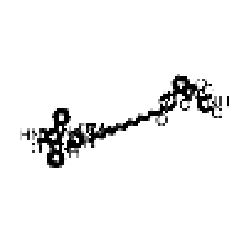 CO[C@@H]1[C@H](N(C)C(=O)CCCCCCCCCCC(=O)N2CCN(c3cccc4c3C(=O)N(C3CCC(=O)NC3=O)C4=O)CC2)C[C@H]2O[C@]1(C)n1c3ccccc3c3c4c(c5c6ccccc6n2c5c31)C(=O)NC4